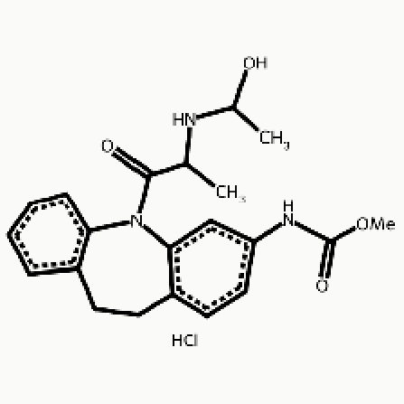 COC(=O)Nc1ccc2c(c1)N(C(=O)C(C)NC(C)O)c1ccccc1CC2.Cl